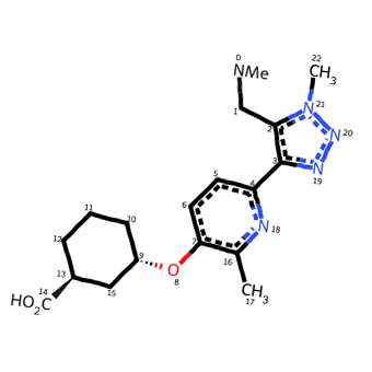 CNCc1c(-c2ccc(O[C@H]3CCC[C@H](C(=O)O)C3)c(C)n2)nnn1C